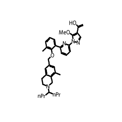 C=C(O)c1cnn(-c2cccc(-c3cccc(C)c3OCc3cc(C)c4c(c3)CCN(C(CCC)CCC)C4)n2)c1OC